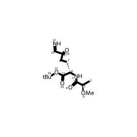 CO[C@H](C)C(=O)N[C@@H](CCC(=O)C=N)C(=O)OC(C)(C)C